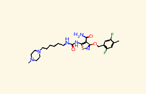 Cc1cc(F)c(COc2nsc(NC(=O)NCCCCCCN3CCN(C)CC3)c2C(N)=O)cc1F